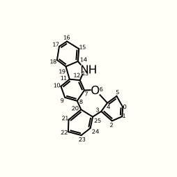 c1ccc2c(c1)Oc1c(ccc3c1[nH]c1ccccc13)-c1ccccc1-2